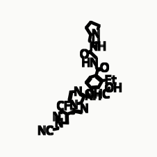 CCc1cc(Nc2nccn3c(-c4cn(CC#N)nc4C(F)(F)F)cnc23)ccc1C(=O)NCC(=O)NCC1CCCN1.O=CO